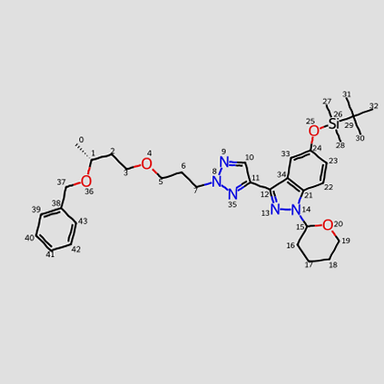 C[C@H](CCOCCCn1ncc(-c2nn(C3CCCCO3)c3ccc(O[Si](C)(C)C(C)(C)C)cc23)n1)OCc1ccccc1